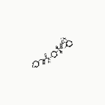 COc1ccccc1CNS(=O)(=O)c1ccc(NC(=S)NCc2ccncc2)cc1